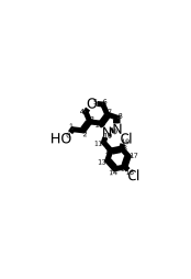 OC/C=C1\COCc2cnn(Cc3ccc(Cl)cc3Cl)c21